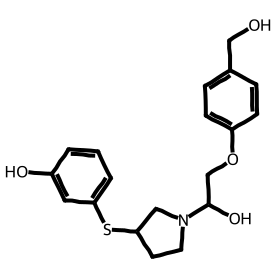 OCc1ccc(OCC(O)N2CCC(Sc3cccc(O)c3)C2)cc1